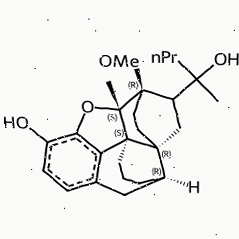 CCCC(C)(O)C1C[C@@]23CC[C@]1(OC)[C@@]1(C)Oc4c(O)ccc5c4[C@]21CCC[C@@H]3C5